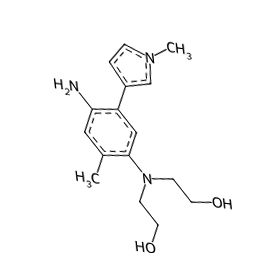 Cc1cc(N)c(-c2ccn(C)c2)cc1N(CCO)CCO